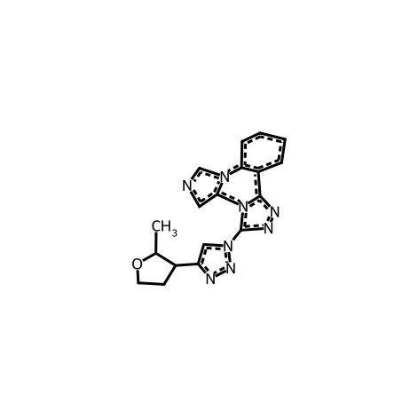 CC1OCCC1c1cn(-c2nnc3c4ccccc4n4cncc4n23)nn1